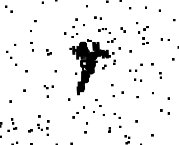 Cc1c(OCCCN2CC(C)(F)C2)cccc1-c1cccc2c1CC[C@@H]2Oc1cc(OCc2cc(C#N)cc(C#N)c2)c(CN[C@H]2CCC(=O)NC2)cc1Cl